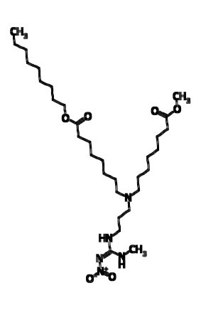 CCCCCCCCCOC(=O)CCCCCCCN(CCCCCCCC(=O)OC)CCCN/C(=N/[N+](=O)[O-])NC